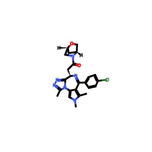 Cc1c2c(cn1C)-n1c(C)nnc1[C@H](CC(=O)N1C[C@@H]3C[C@H]1CO3)N=C2c1ccc(Cl)cc1